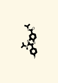 CC(C)SC(=O)c1ccc2nc(-c3ccc(F)cc3)c(N(C)C(C)C)nc2c1